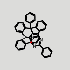 c1ccc(-c2nc(-c3ccccc3)nc(-c3ccccc3C3(c4ccccc4)c4ccccc4Oc4ccccc43)n2)cc1